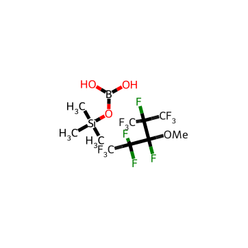 COC(F)(C(F)(F)C(F)(F)F)C(F)(C(F)(F)F)C(F)(F)F.C[Si](C)(C)OB(O)O